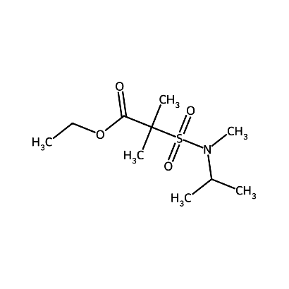 CCOC(=O)C(C)(C)S(=O)(=O)N(C)C(C)C